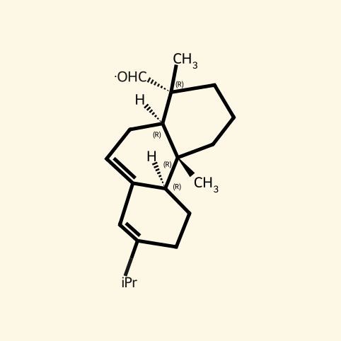 CC(C)C1=CC2=CC[C@@H]3[C@](C)(CCC[C@@]3(C)[C]=O)[C@H]2CC1